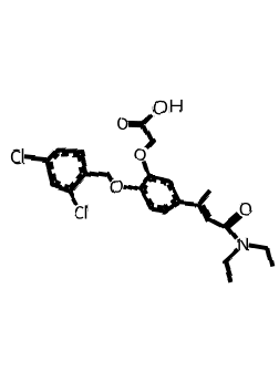 CCN(CC)C(=O)/C=C(\C)c1ccc(OCc2ccc(Cl)cc2Cl)c(OCC(=O)O)c1